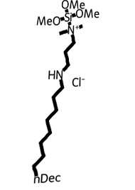 CCCCCCCCCCCCCCCCCCNCCC[N+](C)(C)[Si](OC)(OC)OC.[Cl-]